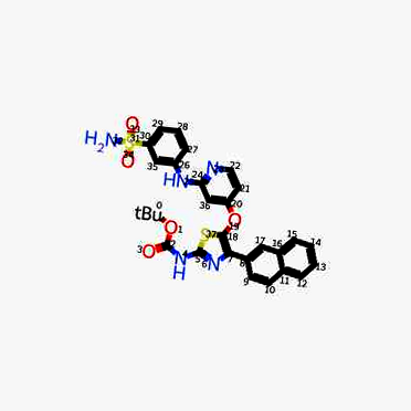 CC(C)(C)OC(=O)Nc1nc(-c2ccc3ccccc3c2)c(Oc2ccnc(Nc3cccc(S(N)(=O)=O)c3)c2)s1